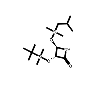 CC(C)C[Si](C)(C)O[C@H]1NC(=O)[C@@H]1O[Si](C)(C)C(C)(C)C